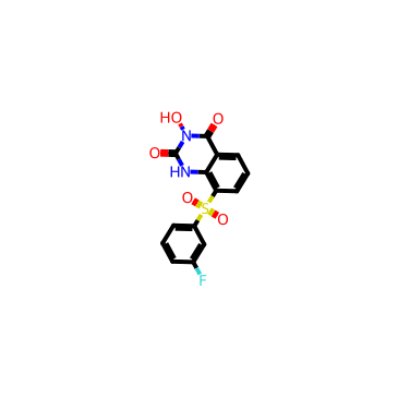 O=c1[nH]c2c(S(=O)(=O)c3cccc(F)c3)cccc2c(=O)n1O